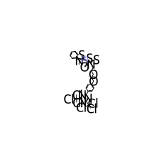 CN1/C(=C2/SC(=S)N(CCOCOc3ccc(-c4nc(C(Cl)(Cl)Cl)nc(C(Cl)(Cl)Cl)n4)cc3)C2=O)Sc2ccccc21